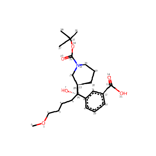 COCCCC[C@](O)(c1cccc(C(=O)O)c1)[C@@H]1CCCN(C(=O)OC(C)(C)C)C1